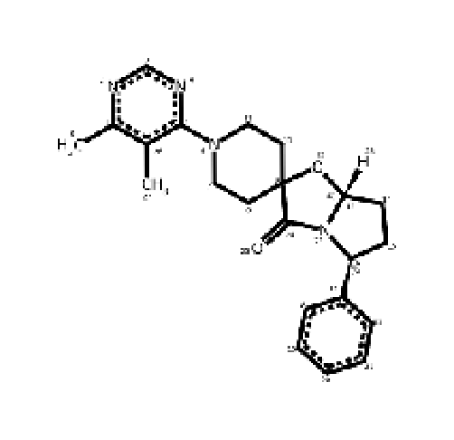 Cc1ncnc(N2CCC3(CC2)O[C@@H]2CC[C@@H](c4ccccc4)N2C3=O)c1C